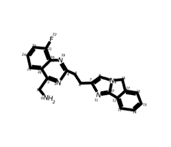 NCc1nc(CCc2cn3c(n2)-c2ccccc2C3)nc2c(F)cccc12